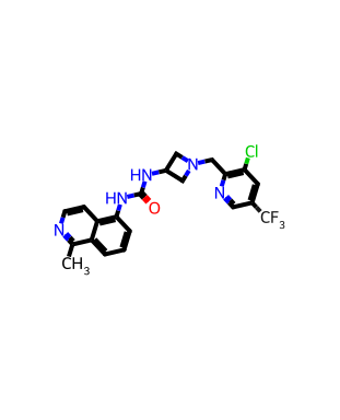 Cc1nccc2c(NC(=O)NC3CN(Cc4ncc(C(F)(F)F)cc4Cl)C3)cccc12